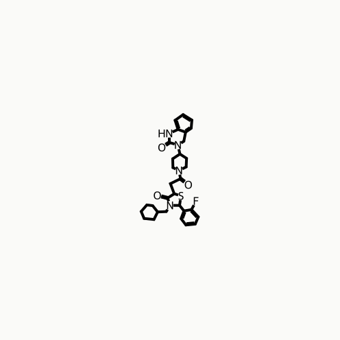 O=C(CC1SC(c2ccccc2F)N(CC2CCCCC2)C1=O)N1CCC(N2Cc3ccccc3NC2=O)CC1